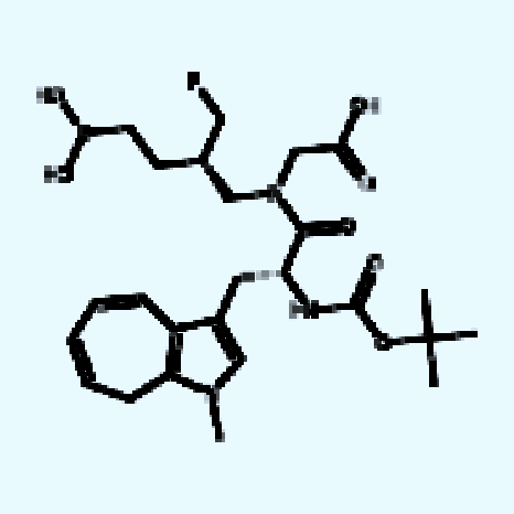 Cn1cc(C[C@@H](NC(=O)OC(C)(C)C)C(=O)N(CC(=O)O)C[C@H](CF)CCB(O)O)c2c1CC=CC=C2